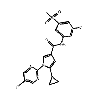 CS(=O)(=O)c1cc(Cl)cc(NC(=O)c2cc(C3CC3)n(-c3ncc(F)cn3)c2)c1